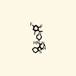 CC(c1c(F)cc(F)cc1F)N1CCC(Nc2ncnc3sc4c(c23)CCCC4)CC1